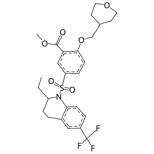 CCC1CCc2cc(C(F)(F)F)ccc2N1S(=O)(=O)c1ccc(OCC2CCOCC2)c(C(=O)OC)c1